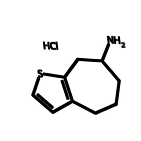 Cl.NC1CCCc2ccsc2C1